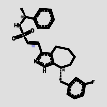 C[C@H](NS(=O)(=O)/C=C/c1n[nH]c2c1CCCC[C@@H]2Cc1cccc(F)c1)c1ccccc1